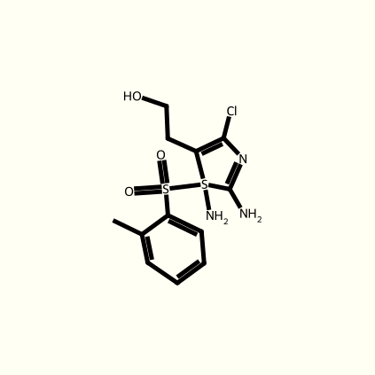 Cc1ccccc1S(=O)(=O)S1(N)C(N)=NC(Cl)=C1CCO